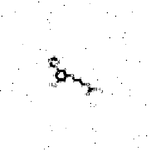 NC(=O)OCCCOc1cc(N)cc(-n2cncn2)c1